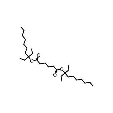 CCCCCCCC(CC)(CC)OC(=O)CCCCC(=O)OC(CC)(CC)CCCCCCC